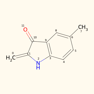 C=C1Nc2ccc(C)cc2C1=O